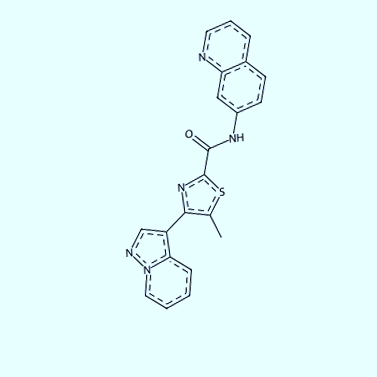 Cc1sc(C(=O)Nc2ccc3cccnc3c2)nc1-c1cnn2ccccc12